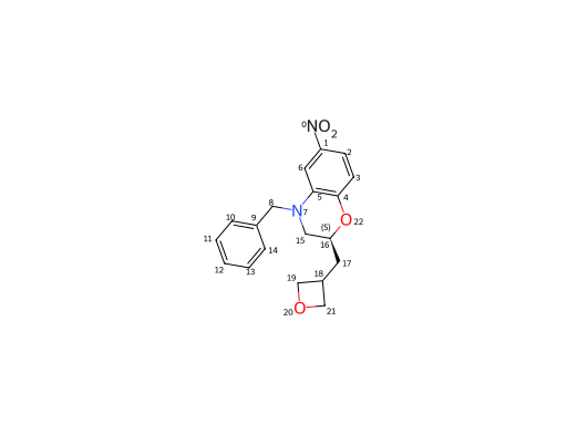 O=[N+]([O-])c1ccc2c(c1)N(Cc1ccccc1)C[C@H](CC1COC1)O2